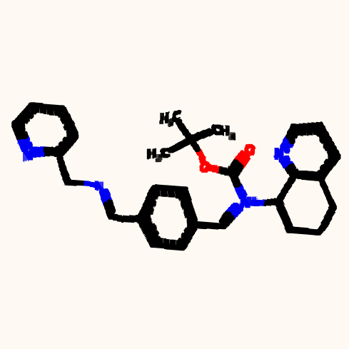 CC(C)(C)OC(=O)[N+](=Cc1ccc(C=NCc2ccccn2)cc1)C1CCCc2cccnc21